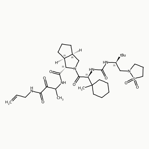 C=CCNC(=O)C(=O)C(C)NC(=O)[C@@H]1[C@H]2CCC[C@H]2CN1C(=O)[C@@H](NC(=O)N[C@H](CN1CCCS1(=O)=O)C(C)(C)C)C1(C)CCCCC1